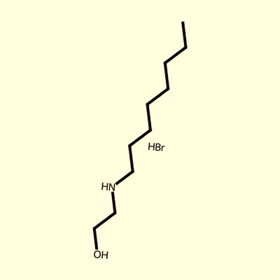 Br.CCCCCCCCNCCO